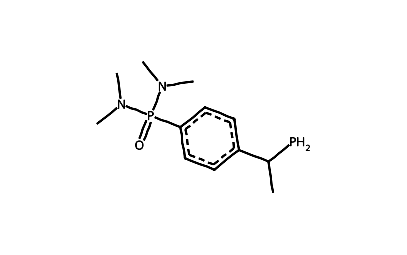 CC(P)c1ccc(P(=O)(N(C)C)N(C)C)cc1